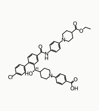 CCOC(=O)C1CCN(c2ccc(NC(=O)c3ccc(-c4ccc(Cl)cc4)c([C@H](O)C4CCN(c5ccc(C(=O)O)cc5)CC4)c3)cc2)CC1